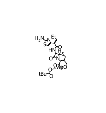 CCC=C(C(=O)N[C@@H]1C(=O)N2C(C(=O)OCOC(=O)C(C)(C)C)=C(COC)CS[C@@H]12)c1csc(N)n1